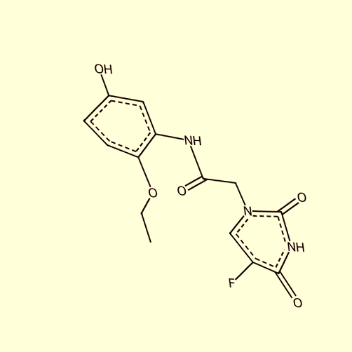 CCOc1ccc(O)cc1NC(=O)Cn1cc(F)c(=O)[nH]c1=O